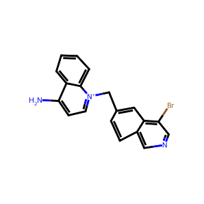 Nc1cc[n+](Cc2ccc3cncc(Br)c3c2)c2ccccc12